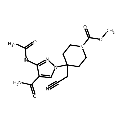 COC(=O)N1CCC(CC#N)(n2cc(C(N)=O)c(NC(C)=O)n2)CC1